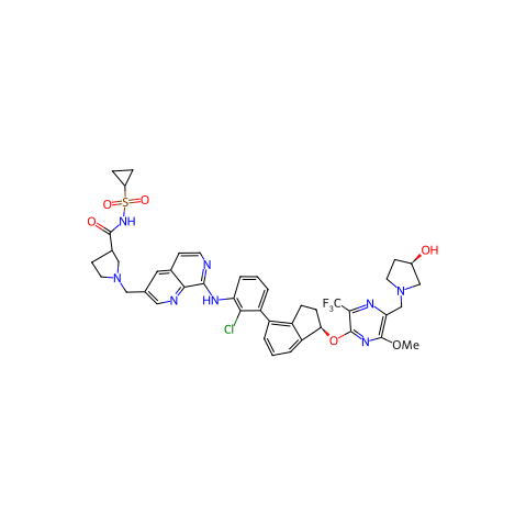 COc1nc(O[C@@H]2CCc3c(-c4cccc(Nc5nccc6cc(CN7CCC(C(=O)NS(=O)(=O)C8CC8)C7)cnc56)c4Cl)cccc32)c(C(F)(F)F)nc1CN1CC[C@@H](O)C1